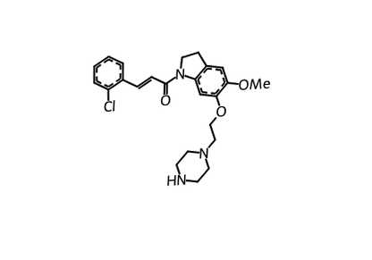 COc1cc2c(cc1OCCN1CCNCC1)N(C(=O)C=Cc1ccccc1Cl)CC2